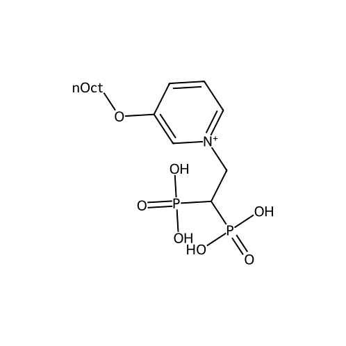 CCCCCCCCOc1ccc[n+](CC(P(=O)(O)O)P(=O)(O)O)c1